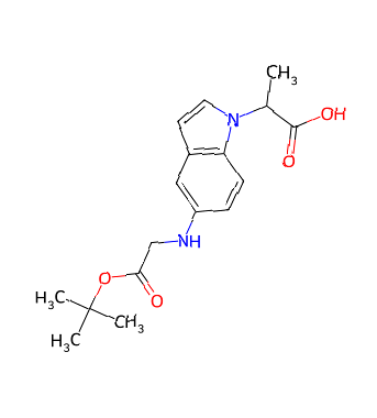 CC(C(=O)O)n1ccc2cc(NCC(=O)OC(C)(C)C)ccc21